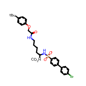 CC(C)(C)c1ccc(OCC(=O)NCCCCC(NS(=O)(=O)c2ccc(-c3ccc(Br)cc3)cc2)C(=O)O)cc1